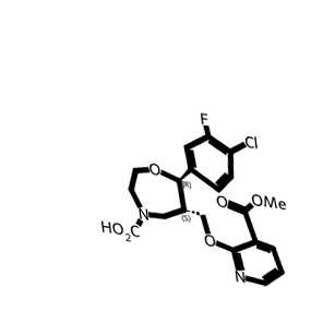 COC(=O)c1cccnc1OC[C@@H]1CN(C(=O)O)CCO[C@H]1c1ccc(Cl)c(F)c1